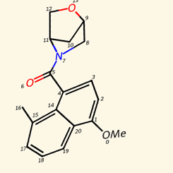 COc1ccc(C(=O)N2CC3CC2CO3)c2c(C)cccc12